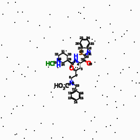 Cl.O=C(N[C@@H](CCCCN(Cc1ccccc1)C(=O)O)C(=O)c1nc2ccccc2s1)[C@@H]1CCCNC1